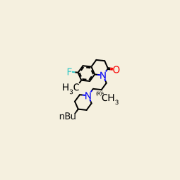 CCCCC1CCN(C[C@@H](C)CN2C(=O)CCc3cc(F)c(C)cc32)CC1